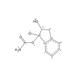 NC(=O)OC1(Cl)c2ccccc2CC1O